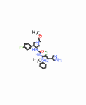 COCCN1C[C@@H](NC(=O)NC2=C(Cl)C(c3cn[nH]c3)=N[N+]2(C)c2ccccc2)[C@H](c2ccc(F)cc2)C1